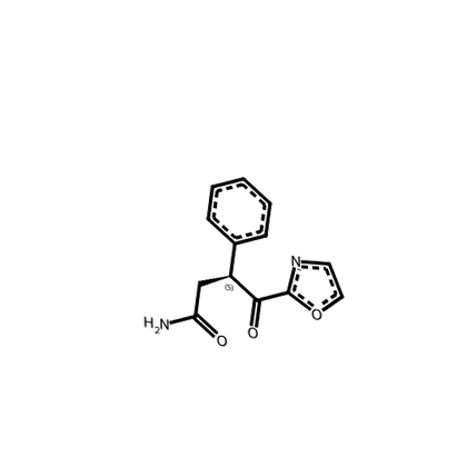 NC(=O)C[C@H](C(=O)c1ncco1)c1ccccc1